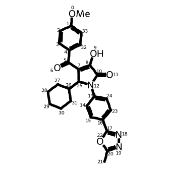 COc1ccc(C(=O)C2=C(O)C(=O)N(c3ccc(-c4nnc(C)o4)cc3)C2C2CCCCC2)cc1